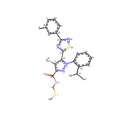 CSCOC(=O)c1nn(-c2ccccc2C(C)C)c(-c2nc(-c3cccc(C)c3)ns2)c1Br